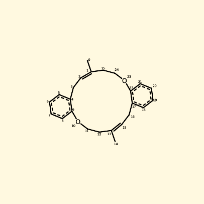 CC1=CCc2ccccc2OCCC(C)=CCc2ccccc2OCC1